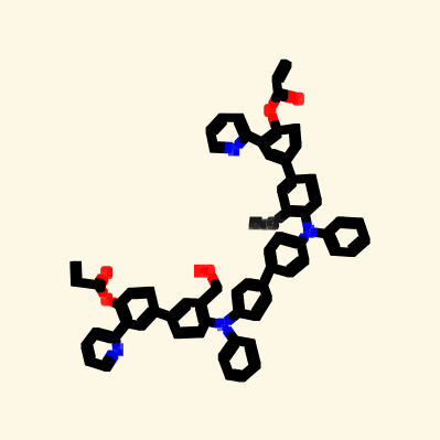 C=CC(=O)Oc1ccc(-c2ccc(N(c3ccccc3)c3ccc(-c4ccc(N(c5ccccc5)c5ccc(-c6ccc(OC(=O)C=C)c(-c7ccccn7)c6)cc5OC)cc4)cc3)c(CO)c2)cc1-c1ccccn1